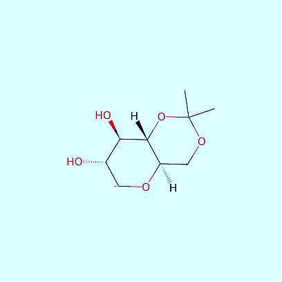 CC1(C)OC[C@H]2O[CH][C@H](O)[C@@H](O)[C@@H]2O1